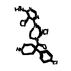 CNc1ncnc(N2CCN(C(=O)C3(c4ccc(Cl)cc4)CCNCC3)CC2)c1Cl.Cl